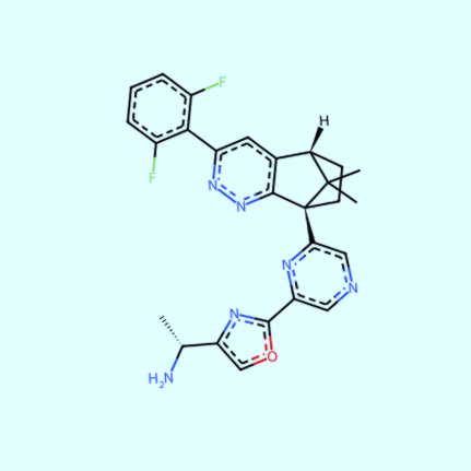 C[C@@H](N)c1coc(-c2cncc([C@@]34CC[C@@H](c5cc(-c6c(F)cccc6F)nnc53)C4(C)C)n2)n1